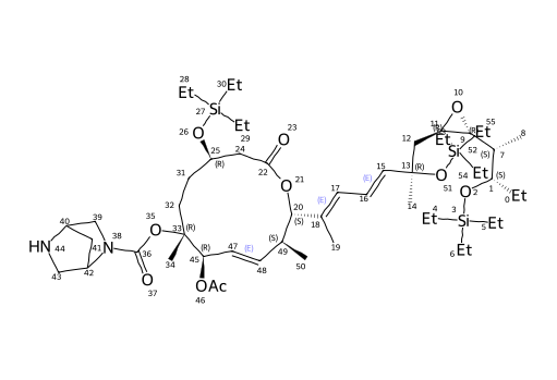 CC[C@H](O[Si](CC)(CC)CC)[C@@H](C)[C@H]1O[C@@H]1C[C@](C)(/C=C/C=C(\C)[C@H]1OC(=O)C[C@H](O[Si](CC)(CC)CC)CC[C@@](C)(OC(=O)N2CC3CC2CN3)[C@H](OC(C)=O)/C=C/[C@@H]1C)O[Si](CC)(CC)CC